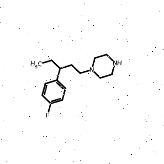 CCC(CCN1CCNCC1)c1ccc(F)cc1